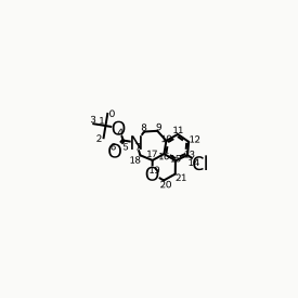 CC(C)(C)OC(=O)N1CCc2ccc(Cl)c3c2C(C1)OCC3